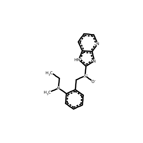 CCN(C)c1ccccc1C[S+]([O-])c1nc2ncccc2[nH]1